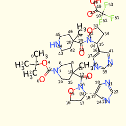 CC(C)(C)OC(=O)N1CCC(C)(C(=O)N2OCC[C@H]2c2cncnc2)CC1.CC1(C(=O)N2OCC[C@H]2c2cncnc2)CCNCC1.O=C(O)C(F)(F)F